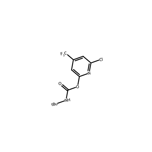 CC(C)(C)NC(=O)Oc1cc(C(F)(F)F)cc(Cl)n1